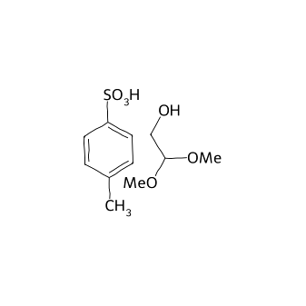 COC(CO)OC.Cc1ccc(S(=O)(=O)O)cc1